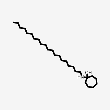 CCCCCCCCCCCCCCCCCCCCNC1(O)CCCCCC1